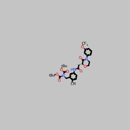 CC(C)(C)OC(=O)N(Cc1cc(NC(=O)[CH][C@H]2OCCN(c3cccc(OC(F)(F)F)c3)C2=O)ccc1C#N)C(=O)OC(C)(C)C